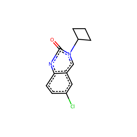 O=c1nc2ccc(Cl)cc2cn1C1CCC1